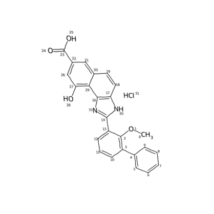 COc1c(-c2ccccc2)cccc1-c1nc2c(ccc3cc(C(=O)O)cc(O)c32)[nH]1.Cl